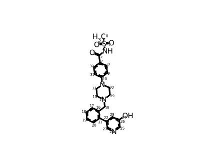 CS(=O)(=O)NC(=O)c1ccc(N2CCN(Cc3ccccc3-c3cncc(O)c3)CC2)cc1